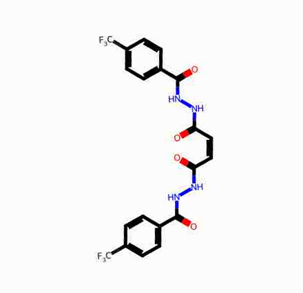 O=C(/C=C\C(=O)NNC(=O)c1ccc(C(F)(F)F)cc1)NNC(=O)c1ccc(C(F)(F)F)cc1